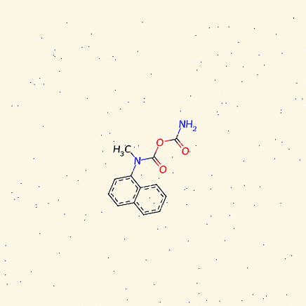 CN(C(=O)OC(N)=O)c1cccc2ccccc12